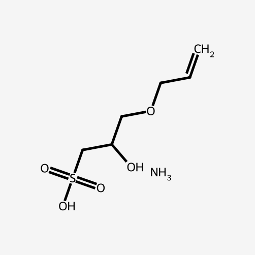 C=CCOCC(O)CS(=O)(=O)O.N